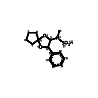 CN(C1OC2(CCCC2)OC1c1ccccc1)S(=O)(=O)O